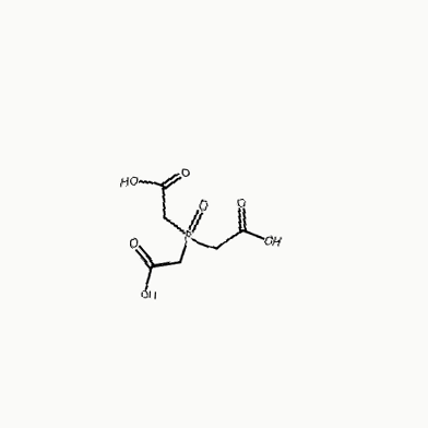 O=C(O)CP(=O)(CC(=O)O)CC(=O)O